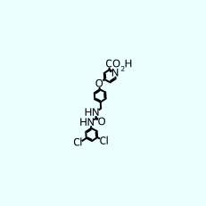 O=C(NCc1ccc(Oc2ccnc(C(=O)O)c2)cc1)Nc1cc(Cl)cc(Cl)c1